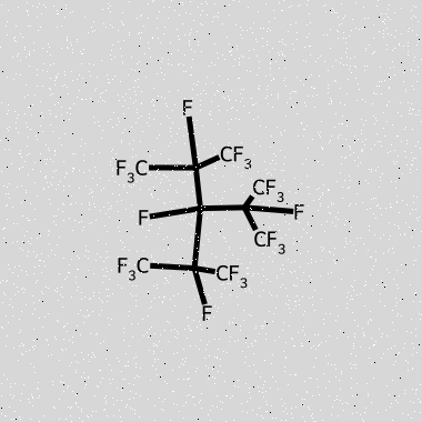 FC(F)(F)C(F)(C(F)(F)F)C(F)(C(F)(C(F)(F)F)C(F)(F)F)C(F)(C(F)(F)F)C(F)(F)F